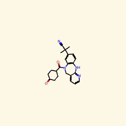 CC(C)(C#N)c1ccc2c(c1)N(C(=O)C1CCC(=O)CC1)Cc1cccnc1N2